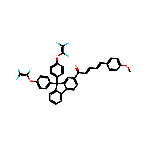 COc1ccc(C=CC=CC(=O)c2ccc3c(c2)C(c2ccc(OC(F)=C(F)F)cc2)(c2ccc(OC(F)=C(F)F)cc2)c2ccccc2-3)cc1